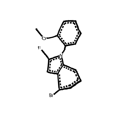 COc1ccccc1-n1c(F)cc2c(Br)cccc21